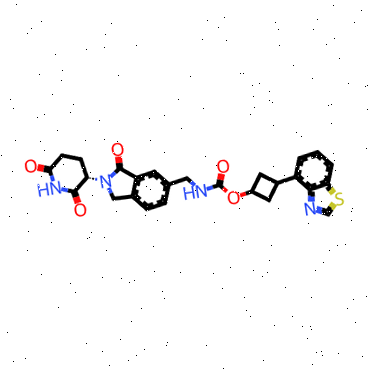 O=C1CC[C@H](N2Cc3ccc(CNC(=O)OC4CC(c5cccc6scnc56)C4)cc3C2=O)C(=O)N1